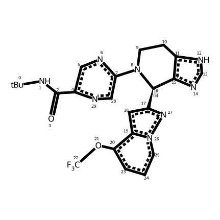 CC(C)(C)NC(=O)c1cnc(N2CCc3[nH]cnc3[C@H]2c2cc3c(OC(F)(F)F)cccn3n2)cn1